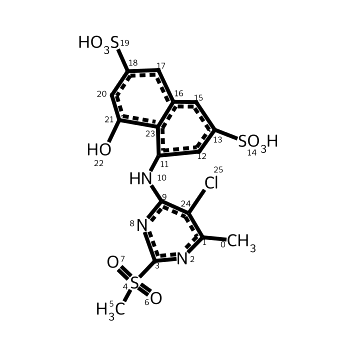 Cc1nc(S(C)(=O)=O)nc(Nc2cc(S(=O)(=O)O)cc3cc(S(=O)(=O)O)cc(O)c23)c1Cl